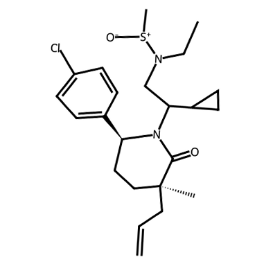 C=CC[C@@]1(C)CC[C@@H](c2ccc(Cl)cc2)N(C(CN(CC)[S+](C)[O-])C2CC2)C1=O